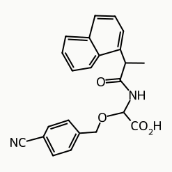 CC(C(=O)NC(OCc1ccc(C#N)cc1)C(=O)O)c1cccc2ccccc12